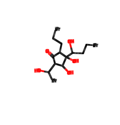 CC(C)CCC(O)C1(O)C(CCC(C)C)C(=O)C(C(O)C(C)C)C1O